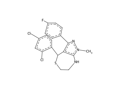 Cn1nc(-c2ccc(F)cc2)c2c1NCCSC2c1ccc(Cl)cc1Cl